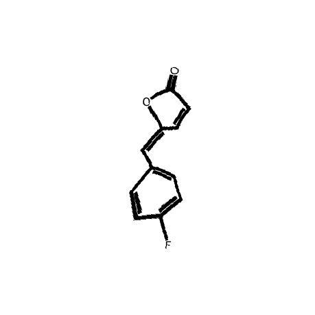 O=C1C=C/C(=C\c2ccc(F)cc2)O1